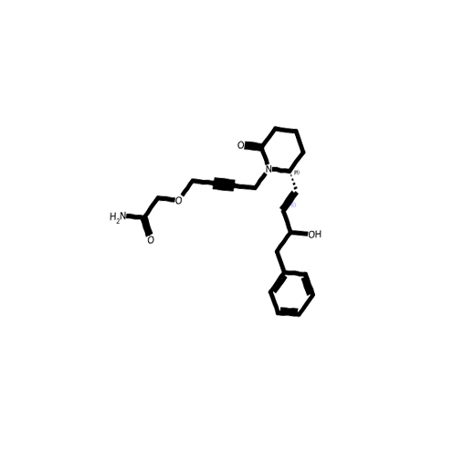 NC(=O)COCC#CCN1C(=O)CCC[C@@H]1/C=C/C(O)Cc1ccccc1